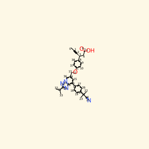 CC#C[C@@H](CC(=O)O)c1ccc(OCc2cc(-c3ccc(C(C)(C)C#N)cc3)c3nc(C(C)C)nn3c2)cc1